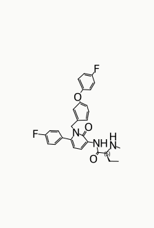 CC[C@H](NC)C(=O)Nc1ccc(-c2ccc(F)cc2)n(Cc2cccc(Oc3ccc(F)cc3)c2)c1=O